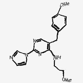 COCCNc1nc(-n2ccnc2)ncc1Cc1ccc(OC)cc1